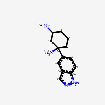 NC1CCCC(N)(c2ccc3[nH]ncc3c2)C1